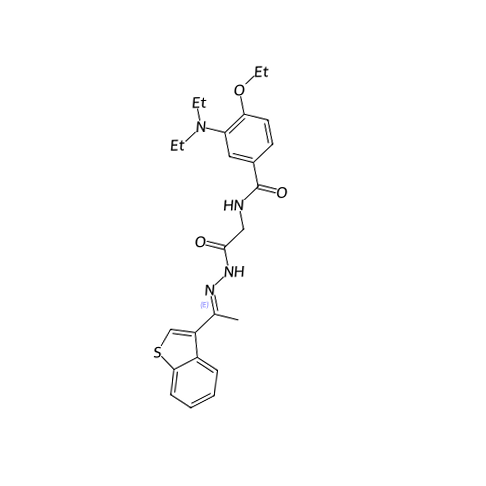 CCOc1ccc(C(=O)NCC(=O)N/N=C(\C)c2csc3ccccc23)cc1N(CC)CC